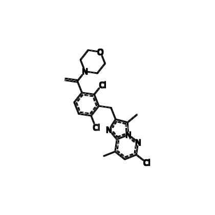 C=C(c1ccc(Cl)c(Cc2nc3c(C)cc(Cl)nn3c2C)c1Cl)N1CCOCC1